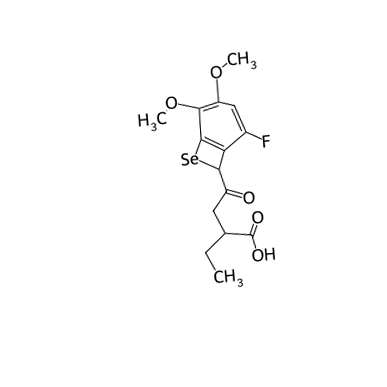 CCC(CC(=O)C1[Se]c2c(OC)c(OC)cc(F)c21)C(=O)O